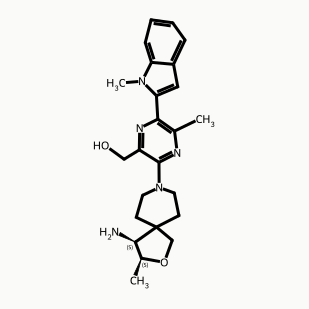 Cc1nc(N2CCC3(CC2)CO[C@@H](C)[C@H]3N)c(CO)nc1-c1cc2ccccc2n1C